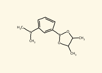 CC1OB(c2cccc(N(C)C)c2)OC1C